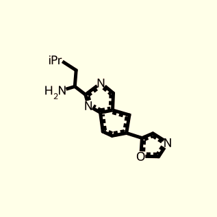 CC(C)CC(N)c1ncc2cc(-c3cnco3)ccc2n1